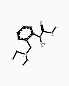 CCN(CC)Cc1ccccc1N(O)C(=O)OC